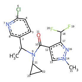 CC(c1ccc(Cl)nc1)N(C(=O)c1cn(C)nc1C(F)F)C1CC1